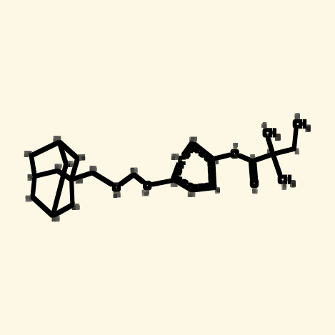 CCC(C)(C)C(=O)Oc1ccc(OCOCC23CC4CC(CC(C4)C2)C3)cc1